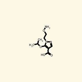 CC(C)Oc1c(C(=O)O)cnn1CCON